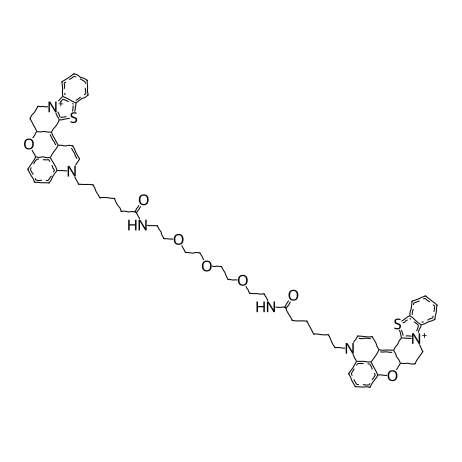 O=C(CCCCCN1C=CC2=C3c4sc5ccccc5[n+]4CCC3Oc3cccc1c32)NCCOCCOCCOCCNC(=O)CCCCCN1C=CC2=C3c4sc5ccccc5[n+]4CCC3Oc3cccc1c32